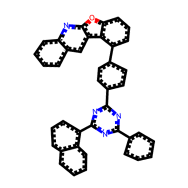 c1ccc(-c2nc(-c3ccc(-c4cccc5oc6nc7ccccc7cc6c45)cc3)nc(-c3cccc4ccccc34)n2)cc1